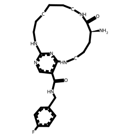 N[C@H]1CCCNc2nc(ncc2C(=O)NCc2ccc(F)cc2)NCCCCCCNC1=O